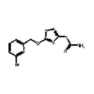 NC(=O)Sc1nsc(OCc2cccc(Br)c2)n1